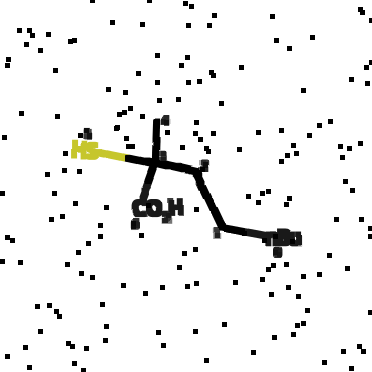 CCCCCCC(C)(S)C(=O)O